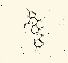 C=CNc1nc(C)ccc1C(=O)N1CCC[C@@H](Nc2ncc(C(F)(F)F)cn2)[C@@H]1C